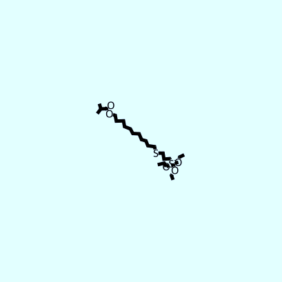 CCO[Si](CCCSCCCCCCCCCCCOC(=O)C(C)C)(OCC)OCC